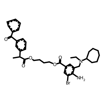 CCN(Cc1cc(C(=O)OCCCCOC(=O)C(C)c2cccc(C(=O)c3ccccc3)c2)cc(Br)c1N)C1CCCCCC1